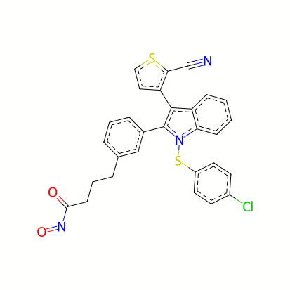 N#Cc1sccc1-c1c(-c2cccc(CCCC(=O)N=O)c2)n(Sc2ccc(Cl)cc2)c2ccccc12